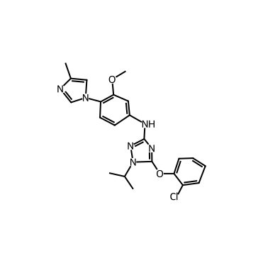 COc1cc(Nc2nc(Oc3ccccc3Cl)n(C(C)C)n2)ccc1-n1cnc(C)c1